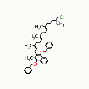 C/C(=C\CC/C(C)=C/CC/C(C)=C/CC/C(C)=C/Cc1c(C)c(OCc2ccccc2)c2ccccc2c1OCc1ccccc1)CCl